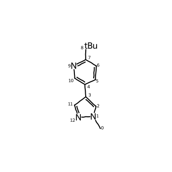 Cn1cc(-c2ccc(C(C)(C)C)nc2)cn1